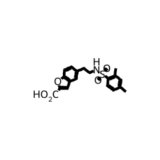 Cc1ccc(S(=O)(=O)NCCc2ccc3oc(C(=O)O)cc3c2)c(C)c1